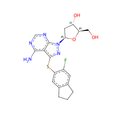 Nc1ncnc2c1c(Sc1cc3c(cc1F)CCC3)nn2[C@H]1C[C@H](O)[C@@H](CO)O1